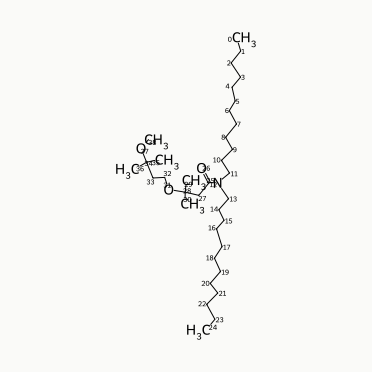 CCCCCCCCCCCCN(CCCCCCCCCCCC)C(=O)CC(C)(C)OCCC(C)(C)OC